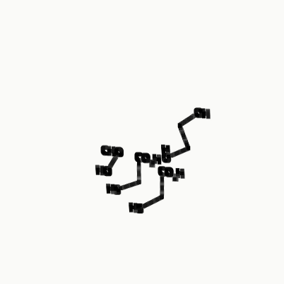 O=C(O)CS.O=C(O)CS.O=CO.OCCO